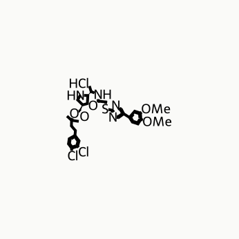 COc1ccc(-c2cnc(SCC(=O)NC(C)[C@@H]3C[C@@H](C(=O)OC(C)(C)CCc4ccc(Cl)c(Cl)c4)CN3)nc2)cc1OC.Cl